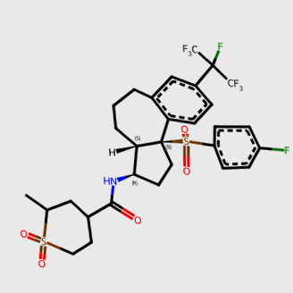 CC1CC(C(=O)N[C@@H]2CC[C@@]3(S(=O)(=O)c4ccc(F)cc4)c4ccc(C(F)(C(F)(F)F)C(F)(F)F)cc4CCC[C@@H]23)CCS1(=O)=O